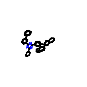 c1ccc(-c2cccc(-c3nc(-c4ccccc4)nc(-c4ccc5c(c4)C4(c6cc7ccccc7cc6-5)C5CC6CC(C5)CC4C6)n3)c2)cc1